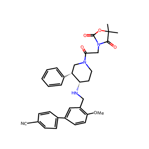 COc1ccc(-c2ccc(C#N)cc2)cc1CN[C@H]1CCN(C(=O)CN2C(=O)OC(C)(C)C2=O)C[C@H]1c1ccccc1